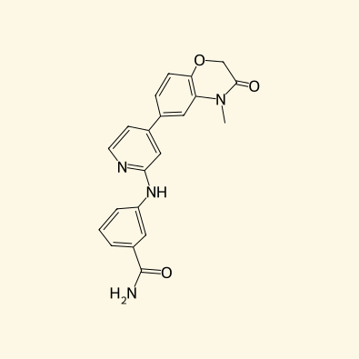 CN1C(=O)COc2ccc(-c3ccnc(Nc4cccc(C(N)=O)c4)c3)cc21